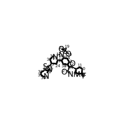 CNC(=O)c1c(-c2ccc(F)cc2)oc2cc(N(C)S(C)(=O)=O)c(-c3cc(-c4nc5ncccc5s4)ccn3)cc12